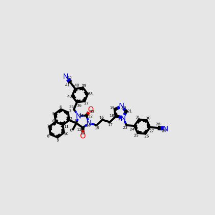 CC1(c2cccc3ccccc23)C(=O)N(CCCc2cncn2Cc2ccc(C#N)cc2)C(=O)N1Cc1cccc(C#N)c1